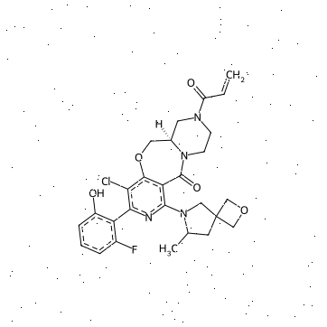 C=CC(=O)N1CCN2C(=O)c3c(N4CC5(COC5)CC4C)nc(-c4c(O)cccc4F)c(Cl)c3OC[C@H]2C1